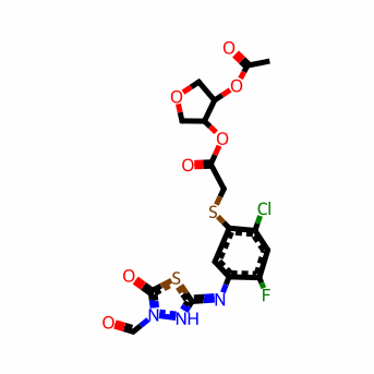 CC(=O)OC1COCC1OC(=O)CSc1cc(N=c2[nH]n(C=O)c(=O)s2)c(F)cc1Cl